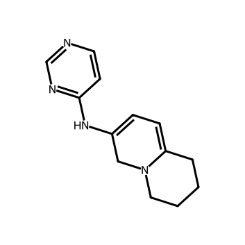 C1=C(Nc2ccncn2)CN2CCCCC2=C1